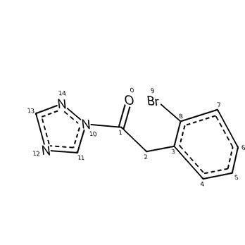 O=C(Cc1ccccc1Br)n1cncn1